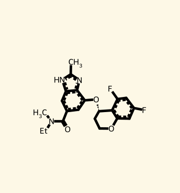 CCN(C)C(=O)c1cc(O[C@H]2CCOc3cc(F)cc(F)c32)c2nc(C)[nH]c2c1